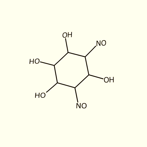 O=NC1C(O)C(O)C(O)C(N=O)C1O